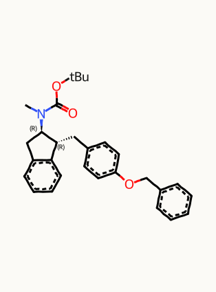 CN(C(=O)OC(C)(C)C)[C@@H]1Cc2ccccc2[C@H]1Cc1ccc(OCc2ccccc2)cc1